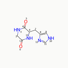 O=C1CNC(=O)C(Cc2c[nH]cn2)N1